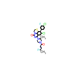 CC(F)/C=C/C(=O)N1CCN(c2nc(=O)n3c4c(c(-c5ccc(Cl)c(F)c5)c(Cl)cc24)SCC3)[C@@H](C)C1